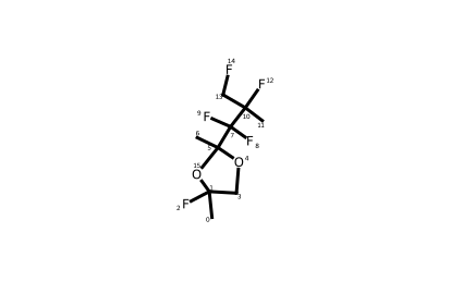 CC1(F)COC(C)(C(F)(F)C(C)(F)CF)O1